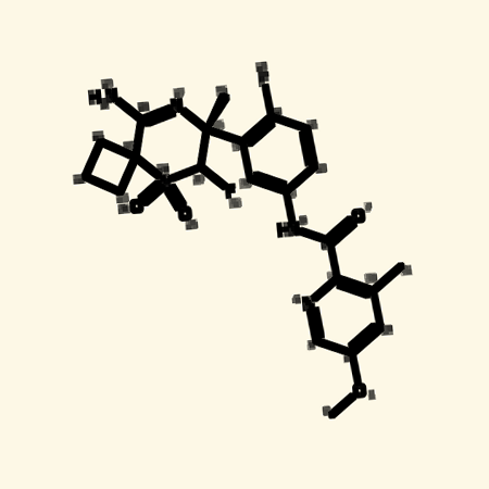 COc1cnc(C(=O)Nc2ccc(F)c([C@@]3(C)N=C(N)C4(CCC4)S(=O)(=O)C3F)c2)c(C)c1